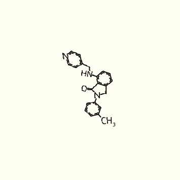 Cc1cccc(N2Cc3cccc(NCc4ccncc4)c3C2=O)c1